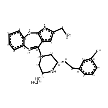 CC(C)Cc1cc2c(s1)Sc1ccccc1N=C2N1CCN[C@@H](CCc2cccc(F)c2)C1.Cl.Cl